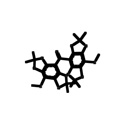 CSc1c2c(c(C(=O)c3c4c(c(SC)c5c3OC(C)(C)O5)OC(C)(C)O4)c3c1OC(C)(C)O3)OC(C)(C)O2